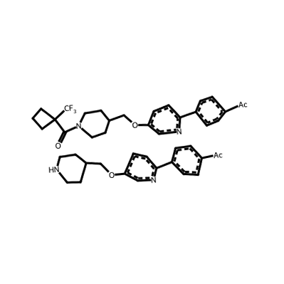 CC(=O)c1ccc(-c2ccc(OCC3CCN(C(=O)C4(C(F)(F)F)CCC4)CC3)cn2)cc1.CC(=O)c1ccc(-c2ccc(OCC3CCNCC3)cn2)cc1